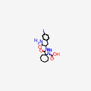 NC(=O)C(Cc1ccc(I)cc1)NC(=O)C1(NC(=O)O)CCCCCC1